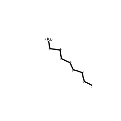 CCCCCCCC[As]